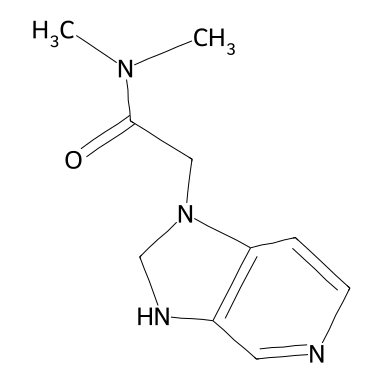 CN(C)C(=O)CN1CNc2cnccc21